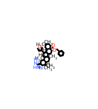 CC1(C)CC[C@]2(C(=O)OCc3ccccc3)CC[C@]3(C)C(=C(c4ccoc4)CC4[C@@]5(C)Cc6c(n[nH]c6N)C(C)(C)[C@@H]5CC[C@]43C)[C@@H]2C1